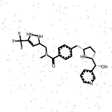 CN(CC1C=C(C(F)(F)F)NN1)C(=O)c1ccc(C[C@@H]2CC[C@H]([C@H](O)c3cccnc3)N2)cc1